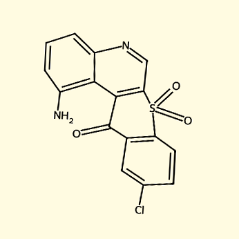 Nc1cccc2ncc3c(c12)C(=O)c1cc(Cl)ccc1S3(=O)=O